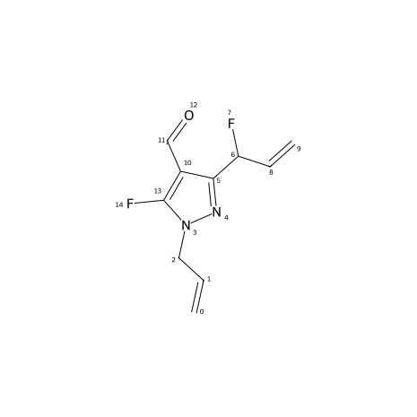 C=CCn1nc(C(F)C=C)c([C]=O)c1F